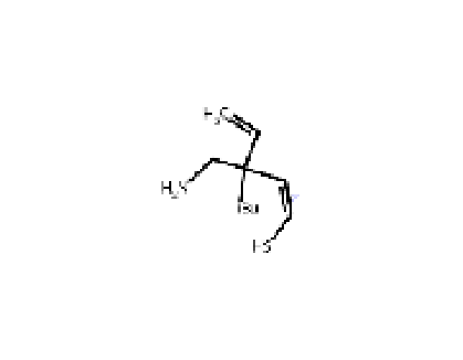 C=CC(/C=C\S)(CN)C(C)CC